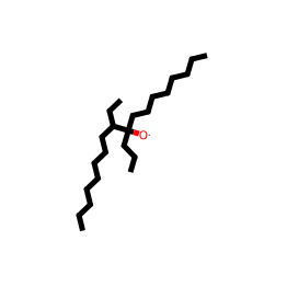 CCCCCCCCC(CC)C([O])(CCC)CCCCCCCC